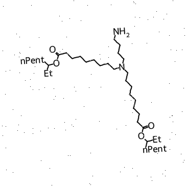 CCCCCC(CC)OC(=O)CCCCCCCCN(CCCCN)CCCCCCCCC(=O)OC(CC)CCCCC